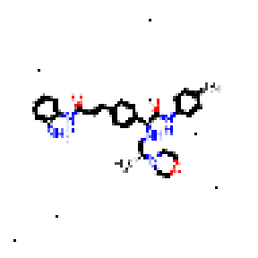 C[C@H](CNC(C(=O)Nc1ccc(C(C)(C)C)cc1)c1ccc(/C=C/C(=O)Nc2ccccc2N)cc1)N1CCOCC1